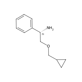 N[C@H](COCC1CC1)c1ccccc1